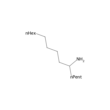 CCCCCCCCCCC(N)CCCCC